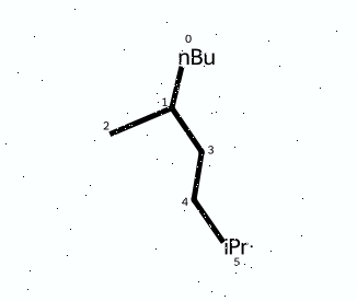 CCCCC(C)CC[C](C)C